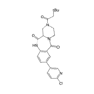 CC(C)(C)CC(=O)N1CCN2C(=O)c3cc(-c4ccc(Cl)nc4)ccc3NC(=O)C2C1